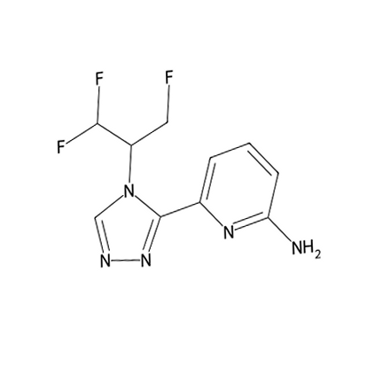 Nc1cccc(-c2nncn2C(CF)C(F)F)n1